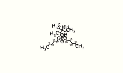 CCC(N)(CC)CC.CCCCCOP(=O)(O)OCCCCC